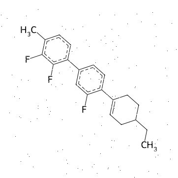 CCC1CC=C(c2ccc(-c3ccc(C)c(F)c3F)cc2F)CC1